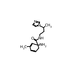 CC1=CC(N)(C(=O)NCCC(C)n2ccnc2)CC=C1